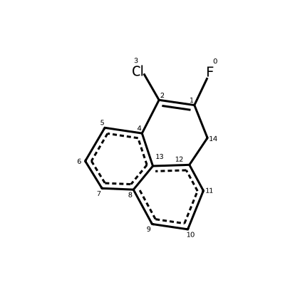 FC1=C(Cl)c2cccc3cccc(c23)C1